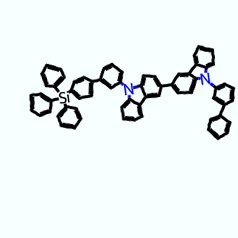 c1ccc(-c2cccc(-n3c4ccccc4c4cc(-c5ccc6c(c5)c5ccccc5n6-c5cccc(-c6ccc([Si](c7ccccc7)(c7ccccc7)c7ccccc7)cc6)c5)ccc43)c2)cc1